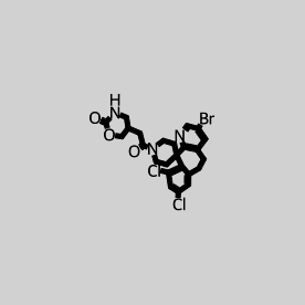 O=C1NCC(CC(=O)N2CCC3(CC2)c2ncc(Br)cc2CCc2cc(Cl)cc(Cl)c23)CO1